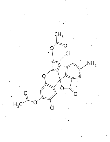 CC(=O)Oc1cc2c(cc1Cl)C1(OC(=O)c3cc(N)ccc31)c1cc(Cl)c(OC(C)=O)cc1O2